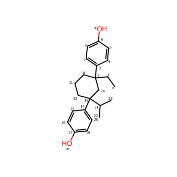 CCC1(c2ccc(O)cc2)CCCC(c2ccc(O)cc2)(C(C)C)C1